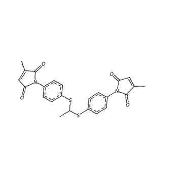 CC1=CC(=O)N(c2ccc(SC(C)Sc3ccc(N4C(=O)C=C(C)C4=O)cc3)cc2)C1=O